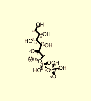 O=C(COP(=O)(O)OP(=O)(O)O)[C@@H](O)[C@H](O)[C@H](O)CO.[Mn]